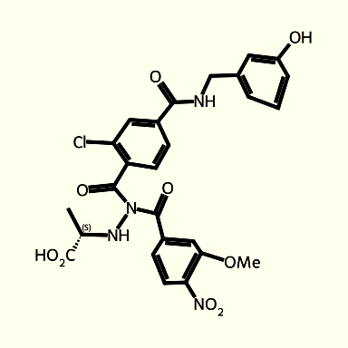 COc1cc(C(=O)N(N[C@@H](C)C(=O)O)C(=O)c2ccc(C(=O)NCc3cccc(O)c3)cc2Cl)ccc1[N+](=O)[O-]